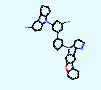 N#Cc1cc(-c2cccc(-n3c4cc5oc6ccccc6c5cc4c4ncccc43)c2)cc(-n2c3ccccc3c3cc(C#N)ccc32)c1